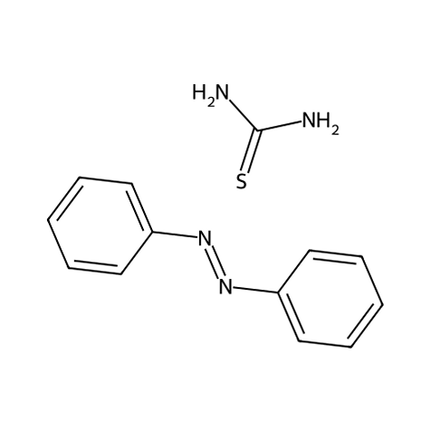 NC(N)=S.c1ccc(N=Nc2ccccc2)cc1